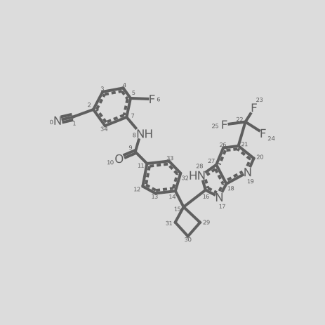 N#Cc1ccc(F)c(NC(=O)c2ccc(C3(c4nc5ncc(C(F)(F)F)cc5[nH]4)CCC3)cc2)c1